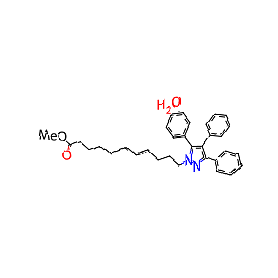 COC(=O)CCCCCCCCCCn1nc(-c2ccccc2)c(-c2ccccc2)c1-c1ccccc1.O